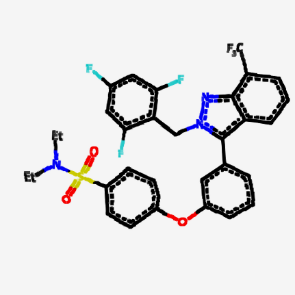 CCN(CC)S(=O)(=O)c1ccc(Oc2cccc(-c3c4cccc(C(F)(F)F)c4nn3Cc3c(F)cc(F)cc3F)c2)cc1